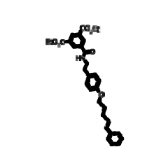 CCOC(=O)c1cc(C(=O)NCCc2ccc(OCCCCCc3ccccc3)cc2)cc(C(=O)OCC)c1